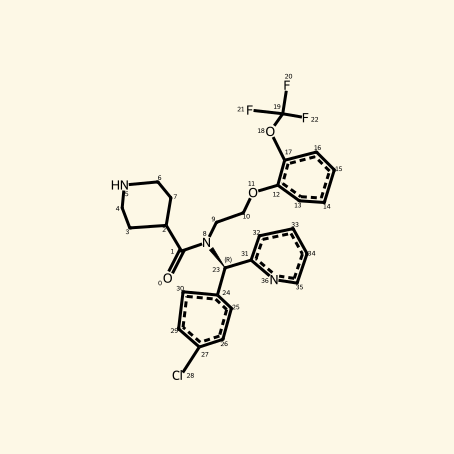 O=C(C1CCNCC1)N(CCOc1ccccc1OC(F)(F)F)[C@H](c1ccc(Cl)cc1)c1ccccn1